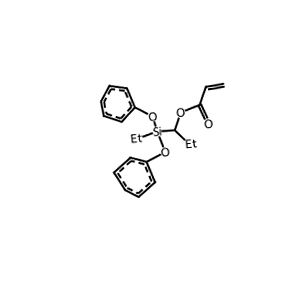 C=CC(=O)OC(CC)[Si](CC)(Oc1ccccc1)Oc1ccccc1